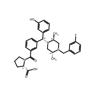 C[C@@H]1CN([C@@H](c2cccc(O)c2)c2cccc(C(=O)N3CCC[C@H]3C(=O)O)c2)[C@@H](C)CN1Cc1cccc(F)c1